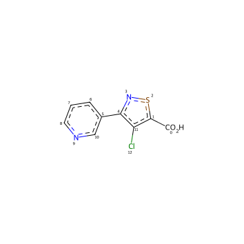 O=C(O)c1snc(-c2cccnc2)c1Cl